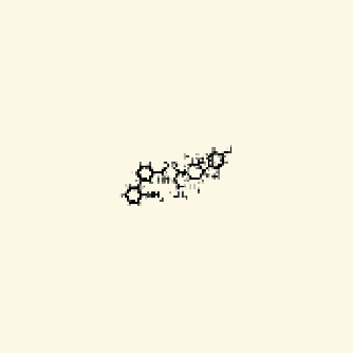 CC(C)[C@@H](NC(=O)c1cccc(-c2ccccc2N)c1)C(=O)N1CC[C@](O)(c2ccc(Cl)cc2)C(C)(C)C1